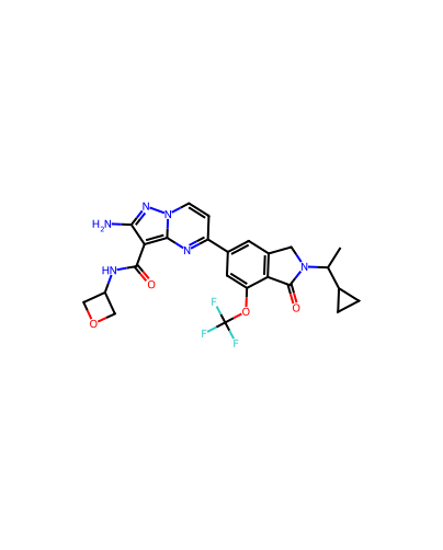 CC(C1CC1)N1Cc2cc(-c3ccn4nc(N)c(C(=O)NC5COC5)c4n3)cc(OC(F)(F)F)c2C1=O